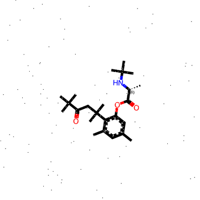 Cc1cc(C)c(C(C)(C)CC(=O)C(C)(C)C)c(OC(=O)[C@@H](C)NC(C)(C)C)c1